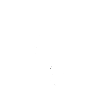 O=C(O)c1ccc2nc(CN3CCC(C(=O)c4ccn(Cc5ccc(Cl)cc5F)n4)CC3)n(C[C@@H]3CCO3)c2c1